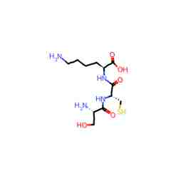 NCCCC[C@H](NC(=O)[C@H](CS)NC(=O)[C@@H](N)CO)C(=O)O